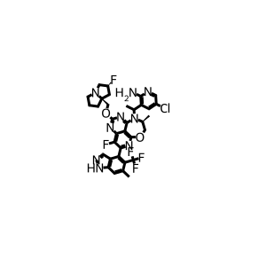 Cc1cc2[nH]ncc2c(-c2nc3c4c(nc(OC[C@@]56CCCN5C[C@H](F)C6)nc4c2F)N(C(C)c2cc(Cl)cnc2N)[C@@H](C)CO3)c1C(F)(F)F